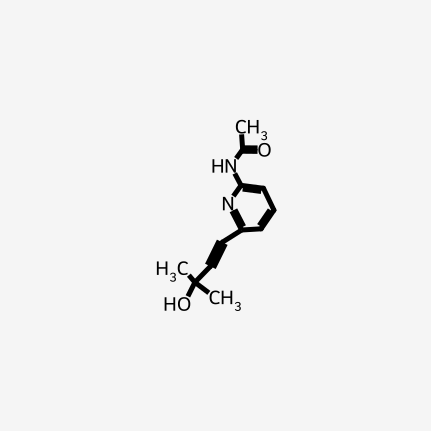 CC(=O)Nc1cccc(C#CC(C)(C)O)n1